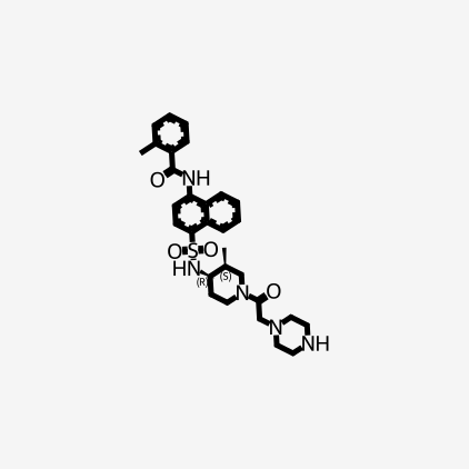 Cc1ccccc1C(=O)Nc1ccc(S(=O)(=O)N[C@@H]2CCN(C(=O)CN3CCNCC3)C[C@@H]2C)c2ccccc12